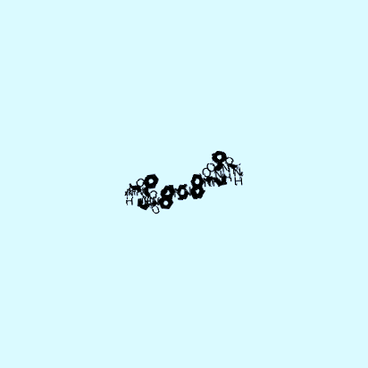 CN[C@@H](C)C(=O)NC(C(=O)N1CCC[C@H]1C(=O)N[C@@H]1CCCc2c1cccc2N1CCN(c2cccc3c2CCC[C@H]3NC(=O)[C@@H]2CCCN2C(=O)C(NC(=O)[C@H](C)NC)C2CCCCC2)CC1)C1CCCCC1